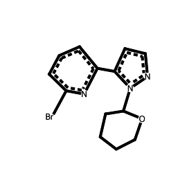 Brc1cccc(-c2ccnn2C2CCCCO2)n1